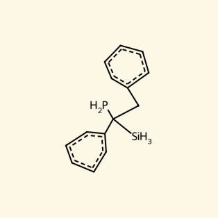 [SiH3]C(P)(Cc1ccccc1)c1ccccc1